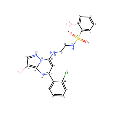 Bc1ccccc1S(=O)(=O)NCCNc1cc(-c2ccccc2Cl)nc2c(B)cnn12